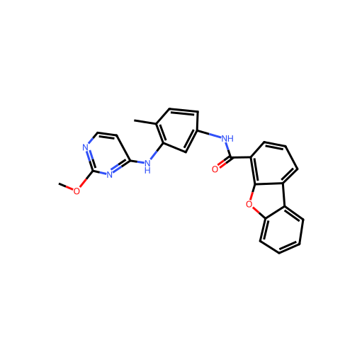 COc1nccc(Nc2cc(NC(=O)c3cccc4c3oc3ccccc34)ccc2C)n1